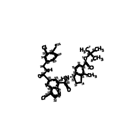 Cc1c(C(=O)OC(C)(C)C)ccc2c1CC[C@@H]2NC(=O)c1cc(C(=O)NCc2ccc(F)c(Cl)c2)nc2c(Cl)cnn12